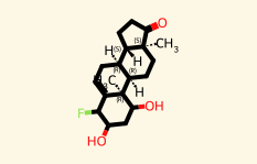 C[C@]12CC[C@@H]3[C@@H](CC=C4C(F)C(O)CC(O)[C@@]43C)[C@@H]1CCC2=O